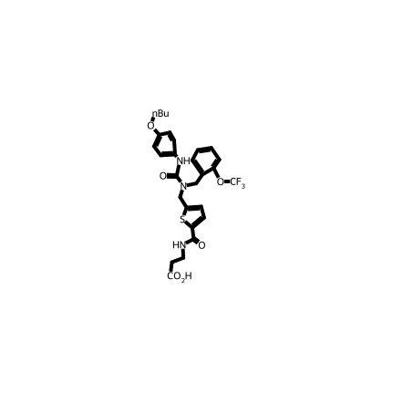 CCCCOc1ccc(NC(=O)N(Cc2ccc(C(=O)NCCC(=O)O)s2)Cc2ccccc2OC(F)(F)F)cc1